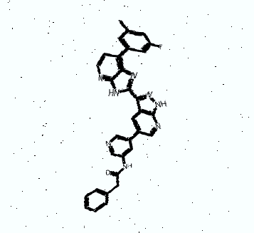 Cc1cc(F)cc(-c2ccnc3[nH]c(-c4n[nH]c5ncc(-c6cncc(NC(=O)Cc7ccccc7)c6)cc45)nc23)c1